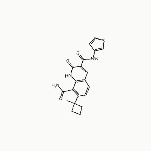 CC1(c2ccc3cc(C(=O)Nc4ccsc4)c(=O)[nH]c3c2C(N)=O)CCC1